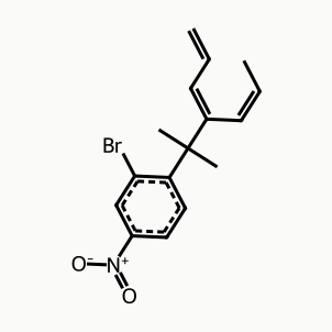 C=C/C=C(\C=C/C)C(C)(C)c1ccc([N+](=O)[O-])cc1Br